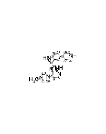 CN1CCN(c2ccnc3[nH]c(-c4n[nH]c5ncc(C6=CCNCC6)cc45)nc23)CC1